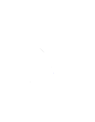 Cc1cc(C)c2c(c1)-c1cc(C)c(C)nc1C2